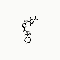 Cc1nn(C(C)C)c(C)c1Nc1nc(C(=O)NS(=O)(=O)N2CCCOCC2)co1